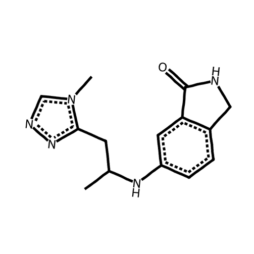 CC(Cc1nncn1C)Nc1ccc2c(c1)C(=O)NC2